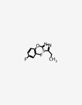 CCc1nnc(Oc2ccc(F)cc2F)s1